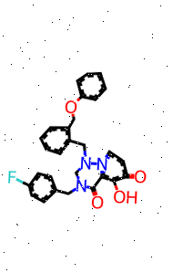 O=C1c2c(O)c(=O)ccn2N(Cc2ccccc2COc2ccccc2)CN1Cc1ccc(F)cc1